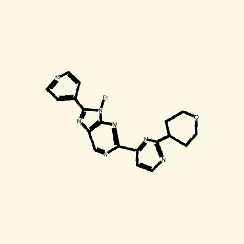 CCn1c(-c2ccncc2)nc2cnc(-c3ccnc(C4CCOCC4)n3)nc21